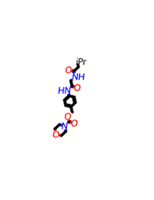 CC(C)CC(=O)NCC(=O)Nc1ccc(COC(=O)N2CCOCC2)cc1